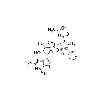 CC(C)OC(=O)[C@H](C)N[P@](=O)(OC[C@@]1(C)O[C@@H](c2cnc3c(O)nc(N)nn23)C(O)C1O)Oc1ccccc1